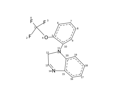 FC(F)(F)Oc1ccccc1N1CC=Nc2ccccc21